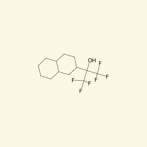 OC(C1CCC2CCCCC2C1)(C(F)(F)F)C(F)(F)F